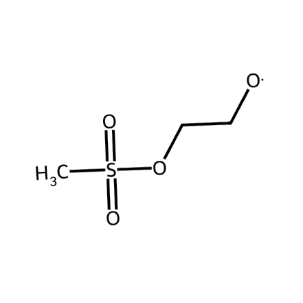 CS(=O)(=O)OCC[O]